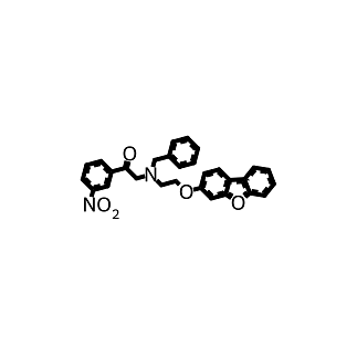 O=C(CN(CCOc1ccc2c(c1)oc1ccccc12)Cc1ccccc1)c1cccc([N+](=O)[O-])c1